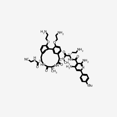 C[C@@H]1NC(=O)[C@@H](N(C)C(=O)[C@H](CCN)NC(=O)c2c(N)cc(-c3ccc(C(C)(C)C)cc3)nc2N)c2ccc(OCCN)c(c2)-c2cc(ccc2OCCN)C[C@@H](C(=O)NCC#N)NC1=O